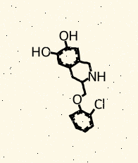 Oc1cc2c(cc1O)CC(COc1ccccc1Cl)NC2